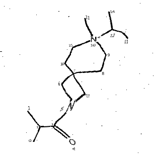 CC(C)C(=O)N1CC2(CC[N+](C)(C(C)C)CC2)C1